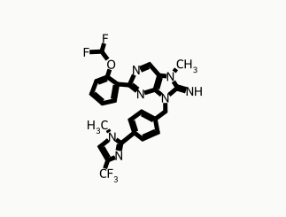 Cn1cc(C(F)(F)F)nc1-c1ccc(Cn2c(=N)n(C)c3cnc(-c4ccccc4OC(F)F)nc32)cc1